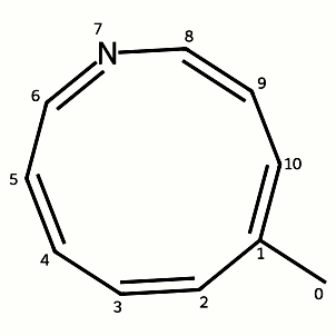 Cc1cccccnccc1